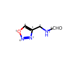 O=CNCc1conn1